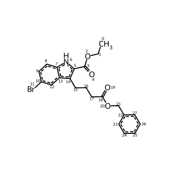 CCOC(=O)c1[nH]c2ccc(Br)cc2c1CCCC(=O)OCc1ccccc1